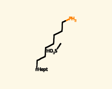 CCCCCCCCCCCCCCP.CS(=O)(=O)O